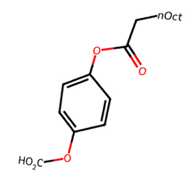 CCCCCCCCCC(=O)Oc1ccc(OC(=O)O)cc1